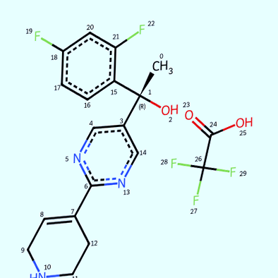 C[C@@](O)(c1cnc(C2=CCNCC2)nc1)c1ccc(F)cc1F.O=C(O)C(F)(F)F